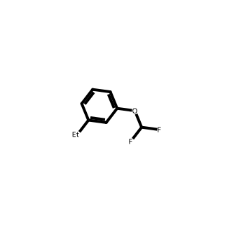 [CH2]Cc1cccc(OC(F)F)c1